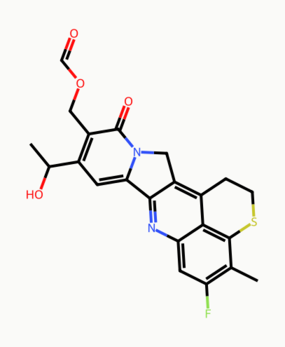 Cc1c(F)cc2nc3c(c4c2c1SCC4)Cn1c-3cc(C(C)O)c(COC=O)c1=O